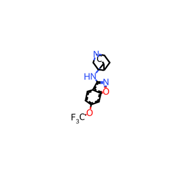 FC(F)(F)Oc1ccc2c(NC3CN4CCC3CC4)noc2c1